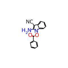 N#Cc1c(N)n(OC(=O)c2ccccc2)c2ccccc12